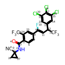 N#CC1(NC(=O)c2ccc(/C(F)=C/C(c3cc(Cl)c(Cl)c(Cl)c3)C(F)(F)F)cc2C(F)(F)F)CC1